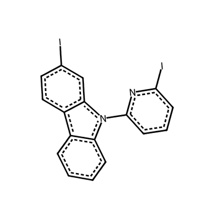 Ic1ccc2c3ccccc3n(-c3cccc(I)n3)c2c1